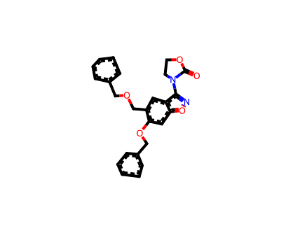 O=C1OCCN1c1noc2cc(OCc3ccccc3)c(COCc3ccccc3)cc12